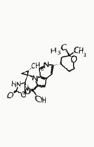 C[C@H]1C[C@]1(c1noc(=O)[nH]1)n1c(C(=O)O)cc2cc([C@H]3CCOC(C)(C)C3)ncc21